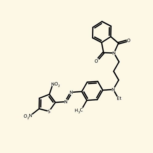 CCN(CCCN1C(=O)c2ccccc2C1=O)c1ccc(/N=N/c2sc([N+](=O)[O-])cc2[N+](=O)[O-])c(C)c1